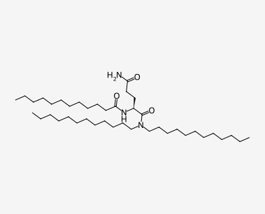 CCCCCCCCCCCCN(CCCCCCCCCCCC)C(=O)[C@H](CCC(N)=O)NC(=O)CCCCCCCCCCC